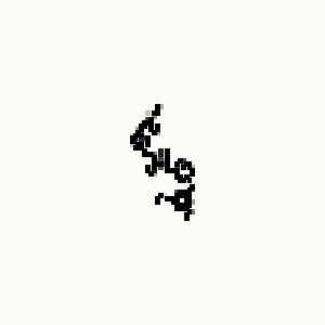 CCOC(=O)Cc1csc(SCC(=O)NCC2CN(Cc3cc(Cl)cc(Cl)c3)CCO2)n1